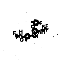 Cc1ccc(F)cc1Oc1cc(NCCC(F)(F)F)c2ncc(-c3ccc(C(=O)N[C@H]4C[C@@H]4F)c(C)c3)n2c1